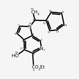 CCOC(=O)c1ncc2c(ccn2C(C)c2ccccc2)c1O